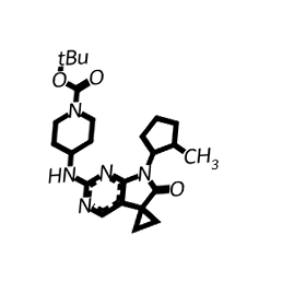 CC1CCCC1N1C(=O)C2(CC2)c2cnc(NC3CCN(C(=O)OC(C)(C)C)CC3)nc21